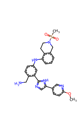 COc1ccc(-c2cnc(-c3cc(Nc4cccc5c4CCN(S(C)(=O)=O)C5)ccc3CN)[nH]2)cn1